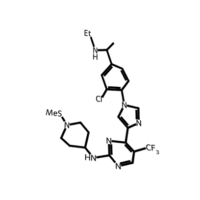 CCNC(C)c1ccc(-n2cnc(-c3nc(NC4CCN(SC)CC4)ncc3C(F)(F)F)c2)c(Cl)c1